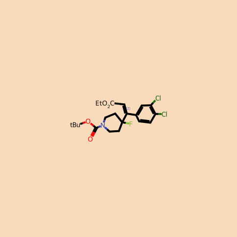 CCOC(=O)/C=C(/c1ccc(Cl)c(Cl)c1)C1(F)CCN(C(=O)OC(C)(C)C)CC1